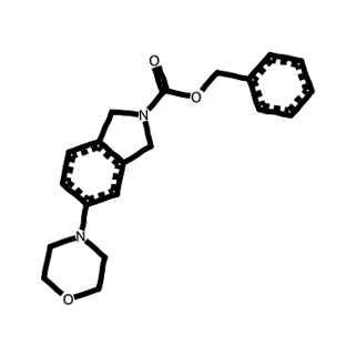 O=C(OCc1ccccc1)N1Cc2ccc(N3CCOCC3)cc2C1